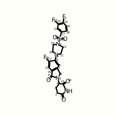 O=C1CCC(N2Cc3cc(N4CCN(S(=O)(=O)c5ccc(F)c(F)c5)CC4)c(F)cc3C2=O)C(=O)N1